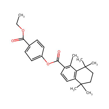 CCOC(=O)c1ccc(OC(=O)c2ccc3c(c2C)C(C)(C)CCC3(C)C)cc1